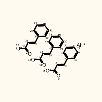 O=C([O-])/C=C/c1ccccc1.O=C([O-])/C=C/c1ccccc1.O=C([O-])/C=C/c1ccccc1.[Al+3]